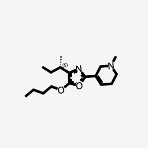 CCCCOc1oc(C2=CCCN(C)C2)nc1[C@@H](C)CC